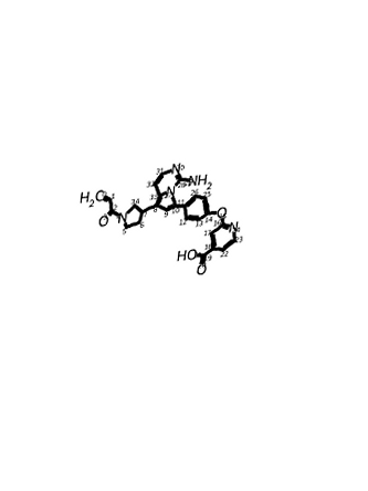 C=CC(=O)N1CCC(c2cc(-c3ccc(Oc4cc(C(=O)O)ccn4)cc3)n3c(N)nccc23)C1